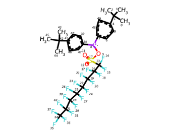 CC(C)(C)c1ccc([I+](OS(=O)(=O)C(F)(F)C(F)(F)C(F)(F)C(F)(F)C(F)(F)C(F)(F)C(F)(F)C(F)(F)F)c2ccc(C(C)(C)C)cc2)cc1